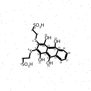 O=S(=O)(O)CCSc1c(SCCS(=O)(=O)O)c(O)c2c(O)c3ccccc3c(O)c2c1O